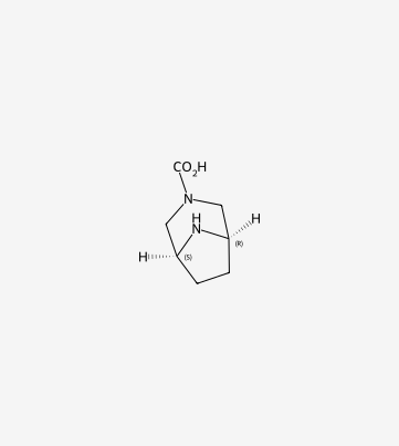 O=C(O)N1C[C@H]2CC[C@@H](C1)N2